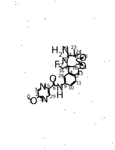 COc1cnc(C(=O)Nc2ccc(F)c(C3(CF)CS(=O)(=O)C(C)(C)C(N)=N3)c2)cn1